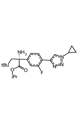 CC(C)OC(=O)[C@@](N)(CC(C)(C)C)c1ccc(-c2cn(C3CC3)nn2)c(F)c1